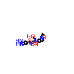 N=C1NCc2cc(NC(=O)[C@H](O)CC(=O)N(CCO)c3ccc4ccc(=O)n(CC5CC5)c4c3)ccc21